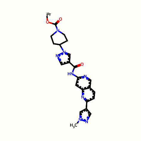 CC(C)OC(=O)N1CCC(n2cc(C(=O)Nc3cc4nc(-c5cnn(C)c5)ccc4cn3)cn2)CC1